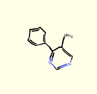 CCC(C)c1cncnc1-c1ccccc1